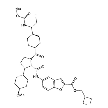 CO[C@H]1CC[C@H]([C@@H]2CCN(C(=O)[C@H]3CC[C@H]([C@@H](CF)NC(=O)OC(C)(C)C)CC3)[C@@H]2C(=O)Nc2ccc3oc(C(=O)OCC4CCC4)cc3c2)CC1